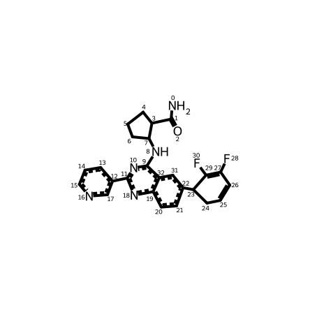 NC(=O)C1CCCC1Nc1nc(-c2cccnc2)nc2ccc(C3CC=CC(F)=C3F)cc12